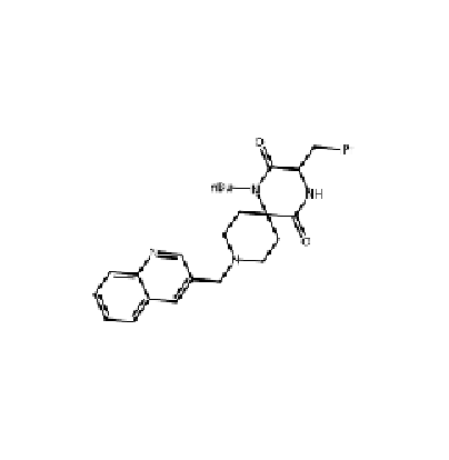 CCCCN1C(=O)C(CC(C)C)NC(=O)C12CCN(Cc1cnc3ccccc3c1)CC2